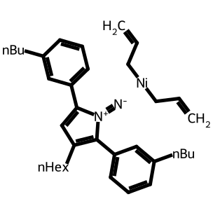 C=C[CH2][Ni][CH2]C=C.CCCCCCC1=C(c2cccc(CCCC)c2)[N+](=[N-])C(c2cccc(CCCC)c2)=C1